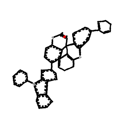 C1=CC(c2ccc3c(c2)SC2=C(C=CCC2)C32c3ccccc3Sc3ccc(-c4ccc5c6ccccc6n(-c6ccccc6)c5c4)cc32)=CCC1